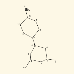 CC1CC(C)CN(C2CCC(C(C)(C)C)CC2)C1